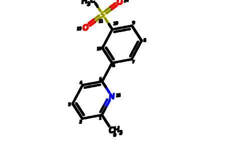 Cc1cccc(-c2cccc(S(C)(=O)=O)c2)n1